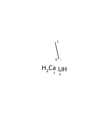 [CH2]C.[CaH2].[LiH]